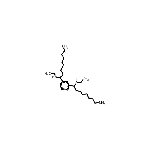 CCCCCCCCC(NCC)c1cccc(C(CCCCCCCC)NCC)c1